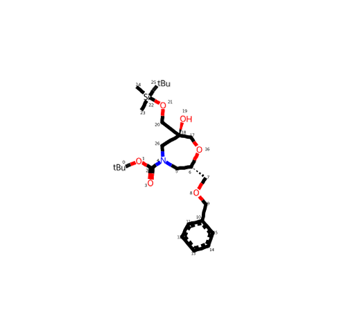 CC(C)(C)OC(=O)N1C[C@@H](COCc2ccccc2)OC[C@@](O)(CO[Si](C)(C)C(C)(C)C)C1